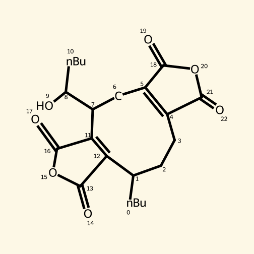 CCCCC1CCC2=C(CC(C(O)CCCC)C3=C1C(=O)OC3=O)C(=O)OC2=O